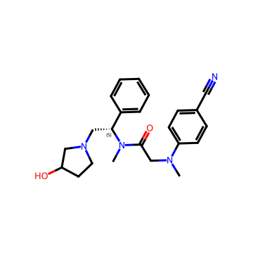 CN(CC(=O)N(C)[C@H](CN1CCC(O)C1)c1ccccc1)c1ccc(C#N)cc1